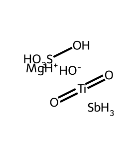 O=S(=O)(O)O.[MgH+].[OH-].[O]=[Ti]=[O].[SbH3]